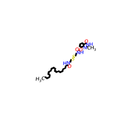 CC/C=C\C/C=C\C/C=C\C/C=C\C/C=C\CCCC(=O)NCCSSCCNC(=O)Oc1cccc2c(=O)[nH]c(C)nc12